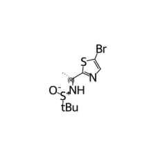 C[C@@H](N[S+]([O-])C(C)(C)C)c1ncc(Br)s1